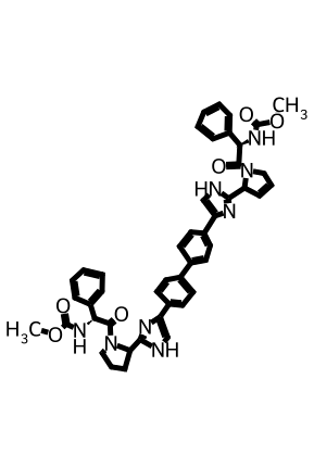 COC(=O)N[C@@H](C(=O)N1CC=CC1c1nc(-c2ccc(-c3ccc(-c4c[nH]c(C5CCCN5C(=O)[C@H](NC(=O)OC)c5ccccc5)n4)cc3)cc2)c[nH]1)c1ccccc1